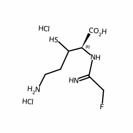 Cl.Cl.N=C(CF)N[C@H](C(=O)O)C(S)CCN